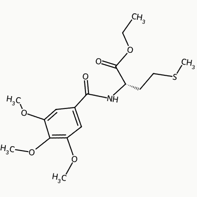 CCOC(=O)[C@H](CCSC)NC(=O)c1cc(OC)c(OC)c(OC)c1